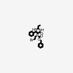 CCC1NC(=O)C(N(CCBr)C(=O)OCc2ccccc2)=C(c2ccccc2)N1